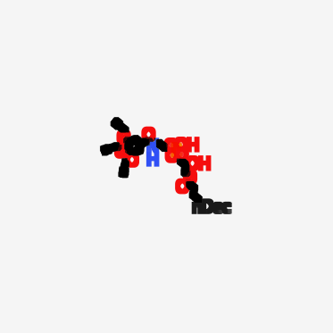 C#CCOc1cc(C(=O)NCCOP(=O)(O)OC[C@H](O)COC(=O)CCCCCCCCCCCCC)cc(OCC#C)c1OCC#C